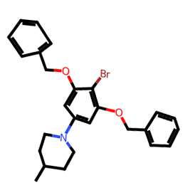 CC1CCN(c2cc(OCc3ccccc3)c(Br)c(OCc3ccccc3)c2)CC1